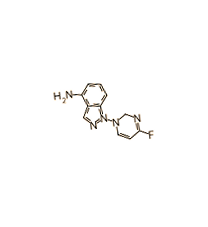 Nc1cccc2c1cnn2N1C=CC(F)=NC1